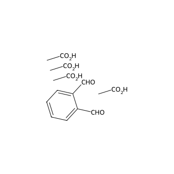 CC(=O)O.CC(=O)O.CC(=O)O.CC(=O)O.O=Cc1ccccc1C=O